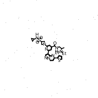 CCN(CC)C(C)CNC(=O)c1cc(-c2cnn3ccc(-c4cccs4)nc23)nc(N2CC(S(=O)(=O)NC3CC3)C2)c1